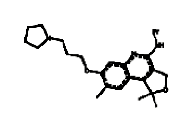 Cc1cc2c3c(c(NC(C)C)nc2cc1OCCCN1CCCC1)COC3(C)C